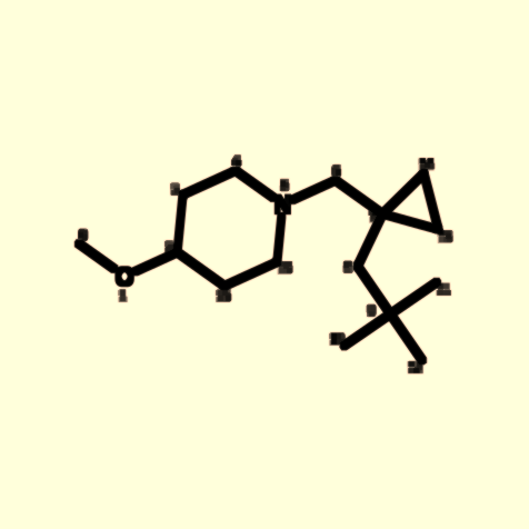 COC1CCN(CC2(CC(C)(C)C)CC2)CC1